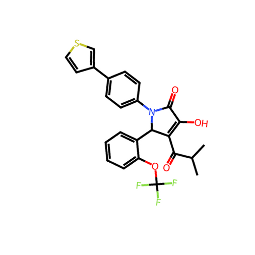 CC(C)C(=O)C1=C(O)C(=O)N(c2ccc(-c3ccsc3)cc2)C1c1ccccc1OC(F)(F)F